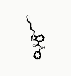 O=C(Nc1ccccc1)c1cccc2c1ncn2CCCCCl